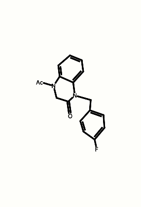 CC(=O)N1CC(=O)N(Cc2ccc(F)cc2)c2ccccc21